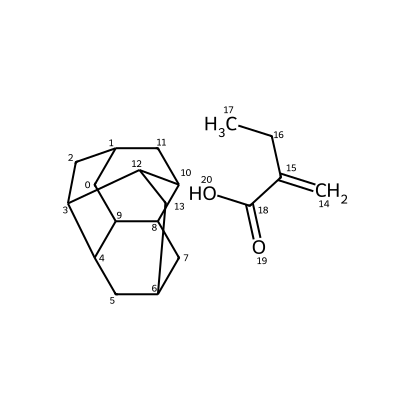 C1C2CC3C4CC5CC(C14)C(C2)C3C5.C=C(CC)C(=O)O